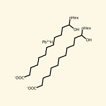 CCCCCCC(O)CCCCCCCCCCC(=O)[O-].CCCCCCC(O)CCCCCCCCCCC(=O)[O-].[PbH2+2]